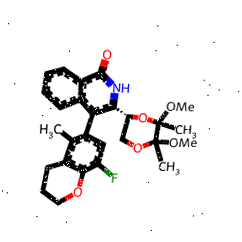 COC1(C)OC[C@H](c2[nH]c(=O)c3ccccc3c2-c2cc(F)c3c(c2C)CCCO3)OC1(C)OC